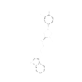 CN1CC(c2ccc(Cl)c(Cl)c2)C/C1=N/CCSc1c[nH]c2ccccc12